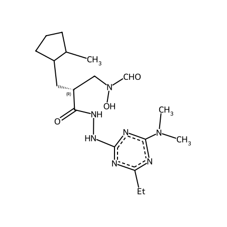 CCc1nc(NNC(=O)[C@H](CC2CCCC2C)CN(O)C=O)nc(N(C)C)n1